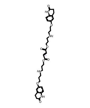 O=C1CCc2cc(OCCCNCCCOC(=O)/C=C/C(=O)OCCCNCCCOc3ccc4c(c3)CCC(=O)N4)ccc2N1